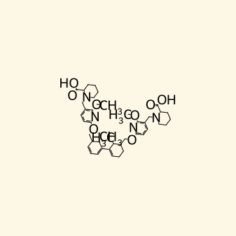 COc1nc(OCC2C=CC=C(C3=CCCC(COc4ccc(CN5CCCCC5C(=O)O)c(OC)n4)C3C)C2C)ccc1CN1CCCCC1C(=O)O